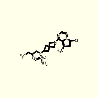 Cc1cc(Cl)n2ncnc(N3CC4(CC(N(CC(O)CC(F)(F)F)S(N)(=O)=O)C4)C3)c12